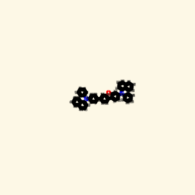 c1ccc(N(c2ccc(-c3ccc4c(c3)oc3cc(N(c5ccccc5)c5cccc6ccccc56)ccc34)cc2)c2cccc3ccccc23)cc1